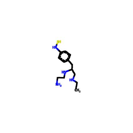 CCNCC(Cc1ccc(NS)cc1)NCCN